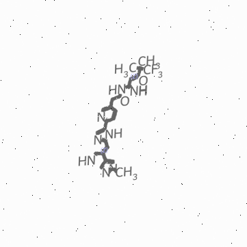 Cn1cc(/C(C=N)=C/c2ncc(-c3ccc(CC(=O)NC(=N)/C=C(\O)C(C)(C)C(F)(F)F)cn3)[nH]2)cn1